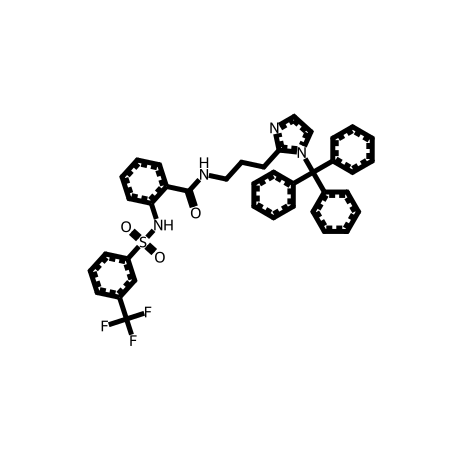 O=C(NCCCc1nccn1C(c1ccccc1)(c1ccccc1)c1ccccc1)c1ccccc1NS(=O)(=O)c1cccc(C(F)(F)F)c1